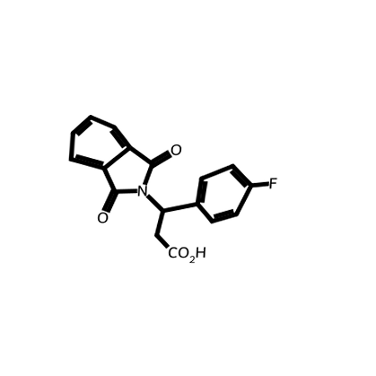 O=C(O)CC(c1ccc(F)cc1)N1C(=O)c2ccccc2C1=O